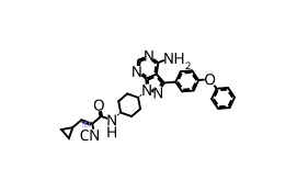 N#C/C(=C\C1CC1)C(=O)N[C@H]1CC[C@@H](n2nc(-c3ccc(Oc4ccccc4)cc3)c3c(N)ncnc32)CC1